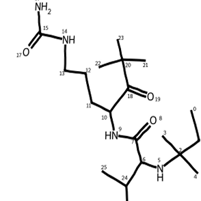 CCC(C)(C)NC(C(=O)NC(CCCNC(N)=O)C(=O)C(C)(C)C)C(C)C